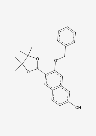 CC1(C)OB(c2cc3ccc(O)cc3cc2OCc2ccccc2)OC1(C)C